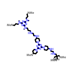 CNCCCN(C)c1nc(N(C)CCCNC)nc(N(C)CCCNCCNC2CCN(c3nc(N4CCC(NC)CC4)nc(N4CCC(NCCNCC(CNC)(CNC)CNC)CC4)n3)CC2)n1